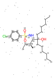 CCCCCCC(O)(CCCCCC)[C@@H](NS(=O)(=O)c1ccc(Cl)cc1)[C@@H](C)CC